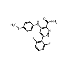 CSc1ccc(Nc2cc(-c3c(F)cccc3F)nnc2C(N)=O)cn1